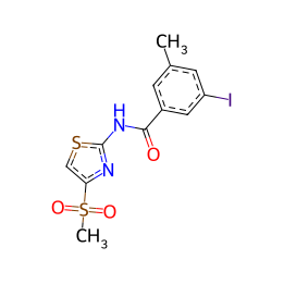 Cc1cc(I)cc(C(=O)Nc2nc(S(C)(=O)=O)cs2)c1